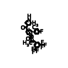 Cc1cc(F)ccc1[C@H]1CN(C(=O)C2CCNCC2)CCN1OC(=O)N(C)Cc1cc(C(F)(F)F)cc(C(F)(F)F)c1